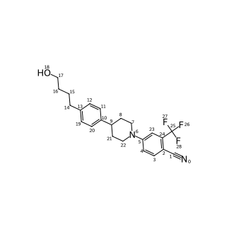 N#Cc1ccc(N2CCC(c3ccc(CCCCO)cc3)CC2)cc1C(F)(F)F